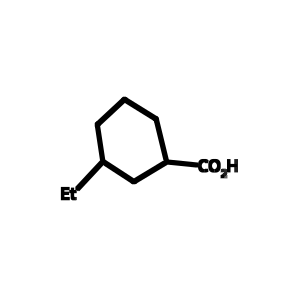 [CH2]CC1CCCC(C(=O)O)C1